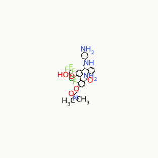 CN(C)C(=O)COc1ccc(C(N)=O)c(-c2cc(C(CNC3CCC(N)CC3)c3ccccc3)ccc2Cl)c1F.O=C(O)C(F)(F)F